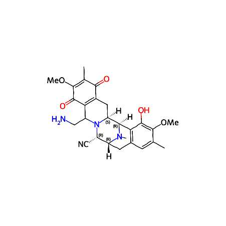 COC1=C(C)C(=O)C2=C(C1=O)C(CN)N1[C@@H](C#N)[C@H]3Cc4cc(C)c(OC)c(O)c4[C@H]([C@@H]1C2)N3C